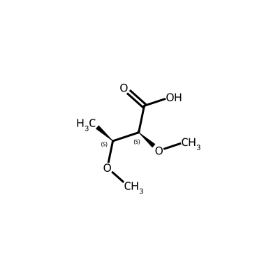 CO[C@@H](C)[C@H](OC)C(=O)O